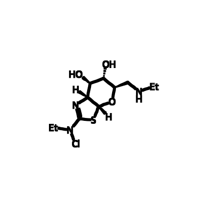 CCNC[C@H]1O[C@@H]2SC(N(Cl)CC)=N[C@@H]2[C@@H](O)[C@@H]1O